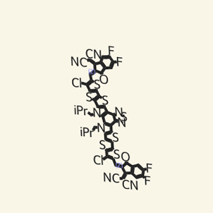 CC(C)Cn1c2c3sc4c(Cl)c(/C=C5\C(=O)c6cc(F)c(F)cc6C5=C(C#N)C#N)sc4c3sc2c2c3nsnc3c3c4sc5c6sc(/C=C7\C(=O)c8cc(F)c(F)cc8C7=C(C#N)C#N)c(Cl)c6sc5c4n(CC(C)C)c3c21